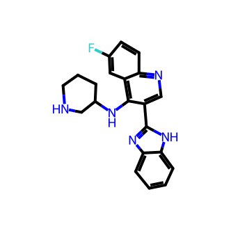 Fc1ccc2ncc(-c3nc4ccccc4[nH]3)c(NC3CCCNC3)c2c1